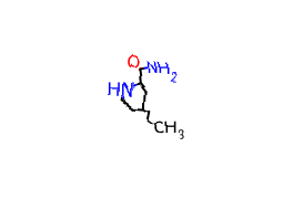 CCCC1CCNC(C(N)=O)C1